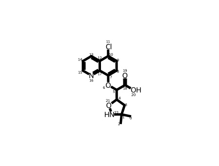 CC1(C)CC(C(Oc2ccc(Cl)c3cccnc23)C(=O)O)ON1